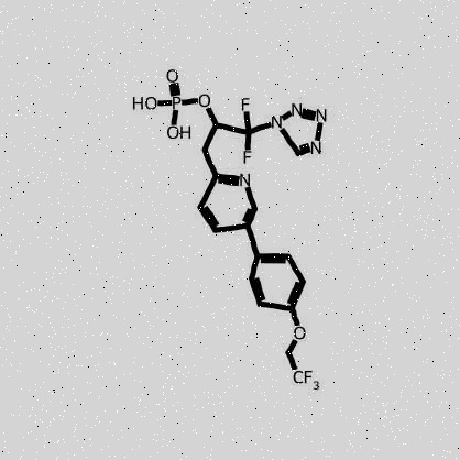 O=P(O)(O)OC(Cc1ccc(-c2ccc(OCC(F)(F)F)cc2)cn1)C(F)(F)n1cnnn1